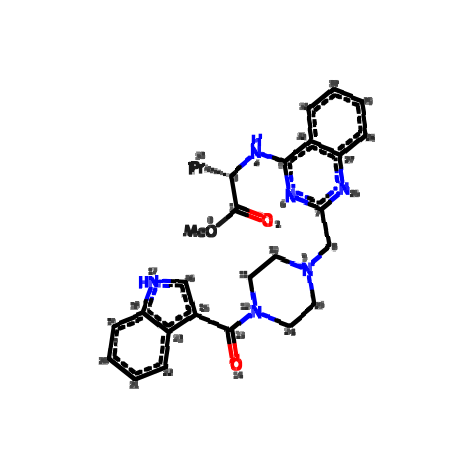 COC(=O)[C@@H](Nc1nc(CN2CCN(C(=O)c3c[nH]c4ccccc34)CC2)nc2ccccc12)C(C)C